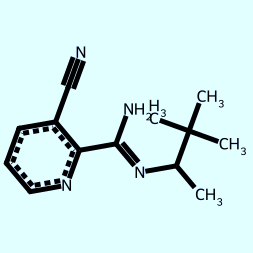 CC(/N=C(\N)c1ncccc1C#N)C(C)(C)C